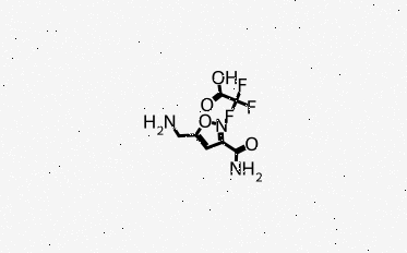 NCc1cc(C(N)=O)no1.O=C(O)C(F)(F)F